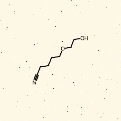 N#CCCCCOCCO